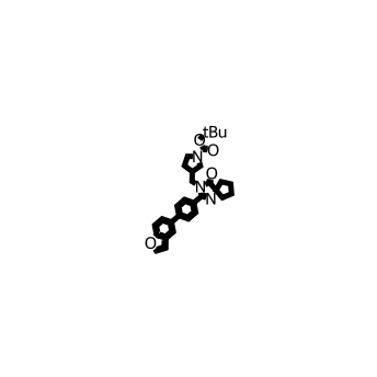 CC(C)(C)OC(=O)N1CCC(CN2C(=O)C3(CCCC3)N=C2c2ccc(-c3ccc4occc4c3)cc2)C1